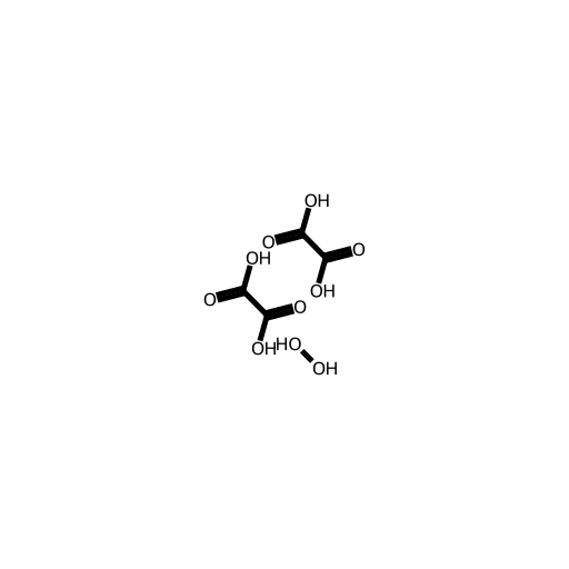 O=C(O)C(=O)O.O=C(O)C(=O)O.OO